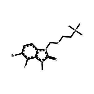 Cn1c(=O)n(COCC[Si](C)(C)C)c2ccc(Br)c(F)c21